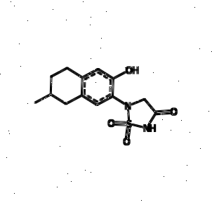 CC1CCc2cc(O)c(N3CC(=O)NS3(=O)=O)cc2C1